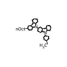 C=Cc1ccc(-n2c3ccccc3c3cc(-n4c5ccccc5c5cc(CCCCCCCC)ccc54)ccc32)cc1